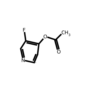 CC(=O)Oc1c[c]ncc1F